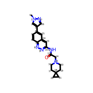 Cn1cc(-c2ccc3nnc(NC(=O)CN4CCC5(CC4)CC5)cc3c2)cn1